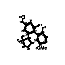 COc1ccc(F)c(-c2c(F)cc(CCl)cc2[C@H]2CCCC2(C)C)c1